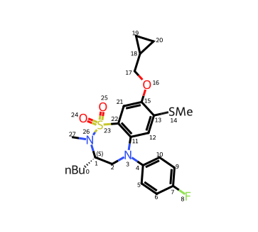 CCCC[C@H]1CN(c2ccc(F)cc2)c2cc(SC)c(OCC3CC3)cc2S(=O)(=O)N1C